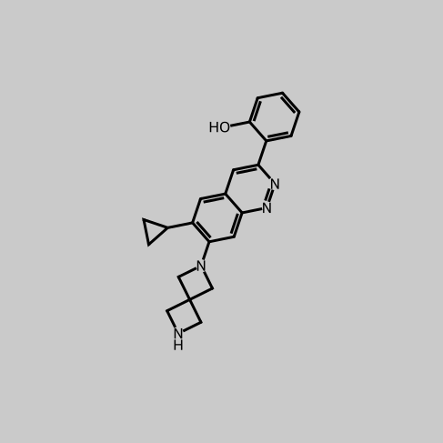 Oc1ccccc1-c1cc2cc(C3CC3)c(N3CC4(CNC4)C3)cc2nn1